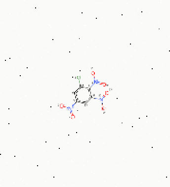 O=[N+]([O-])c1cc(Cl)c([N+](=O)[O-])c([N+](=O)[O-])c1